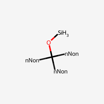 CCCCCCCCCC(CCCCCCCCC)(CCCCCCCCC)O[SiH3]